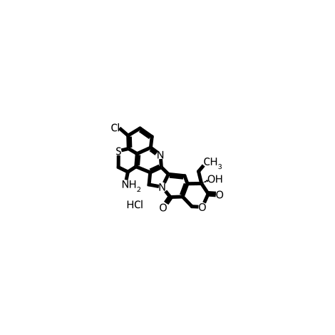 CC[C@@]1(O)C(=O)OCc2c1cc1n(c2=O)Cc2c-1nc1ccc(Cl)c3c1c2C(N)CS3.Cl